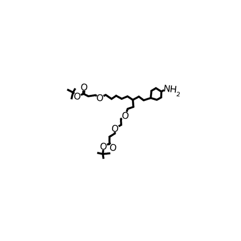 CC(C)(C)OC(=O)CCOCCCCCC(CCOCCOCCC(=O)OC(C)(C)C)CCC1CCC(N)CC1